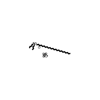 CCCCCCCCCCCCCCCCCCCCCC(=O)CCO[N+](C)(CCCC)CCCC.COS(=O)(=O)[O-]